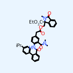 CCOC(=O)[C@]1(COC(=O)Cc2ccc(NC(=O)c3ccccc3-c3ccc(C(C)C)cc3)c(C(=O)N(C)C)c2)c2ccccc2C(=O)N1C